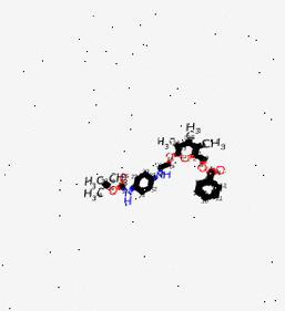 CC1C(COC(=O)c2ccccc2)OC(OCCNC2CCC(NC(=O)OC(C)(C)C)CC2)C(C)C1C